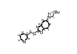 CC(C)(C)CNc1ccc2oc(SCc3cccnc3)nc2c1